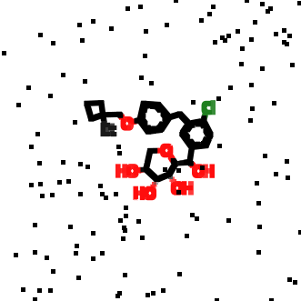 CCC1(COc2ccc(Cc3cc(C(O)[C@@H]4OC[C@H](O)[C@@H](O)[C@H]4O)ccc3Cl)cc2)CCC1